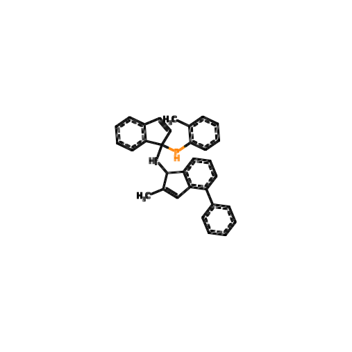 CC1=Cc2c(-c3ccccc3)cccc2[CH]1[Hf][C]1(Pc2ccccc2C)C=Cc2ccccc21